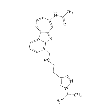 CC(=O)Nc1cccc2c3cccc(CNCCc4cnn(C(C)C)c4)c3nc-2c1